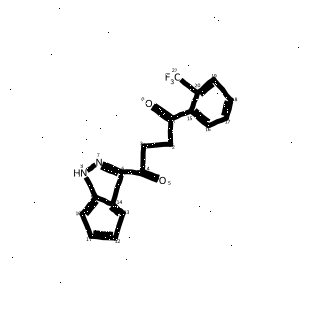 O=C(CCC(=O)c1n[nH]c2ccccc12)c1ccccc1C(F)(F)F